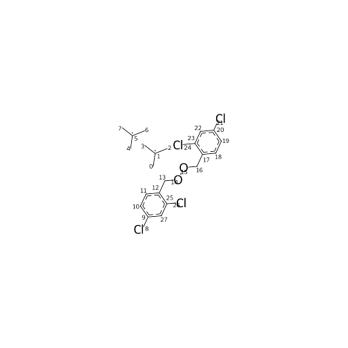 C[C](C)C.C[C](C)C.Clc1ccc(COOCc2ccc(Cl)cc2Cl)c(Cl)c1